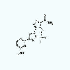 CNc1ccnc(-n2cc(-c3cnc(C(N)=O)n3C)c(C(F)(F)F)n2)n1